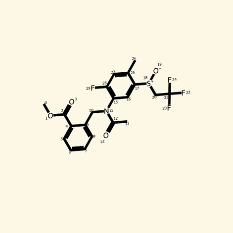 COC(=O)c1ccccc1CN(C(C)=O)c1cc([S+]([O-])CC(F)(F)F)c(C)cc1F